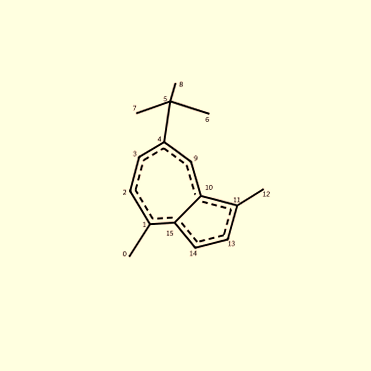 Cc1ccc(C(C)(C)C)cc2c(C)ccc1-2